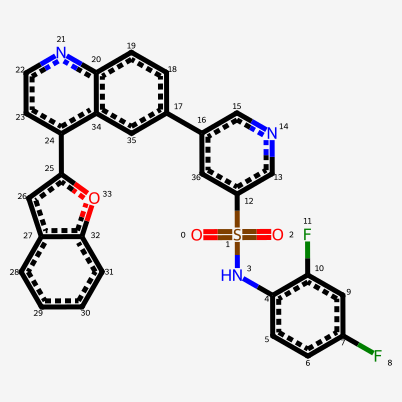 O=S(=O)(Nc1ccc(F)cc1F)c1cncc(-c2ccc3nccc(-c4cc5ccccc5o4)c3c2)c1